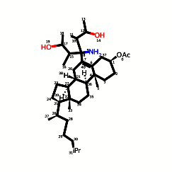 CC(=O)O[C@H]1CC[C@@]2(C)C(=C(C(N)(C(C)C(C)O)C(C)C(C)O)C[C@H]3[C@@H]4CC[C@H]([C@H](C)CCCC(C)C)[C@@]4(C)CC[C@@H]32)C1